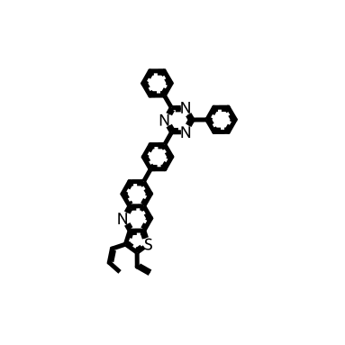 C=Cc1sc2cc3cc(-c4ccc(-c5nc(-c6ccccc6)nc(-c6ccccc6)n5)cc4)ccc3nc2c1/C=C\C